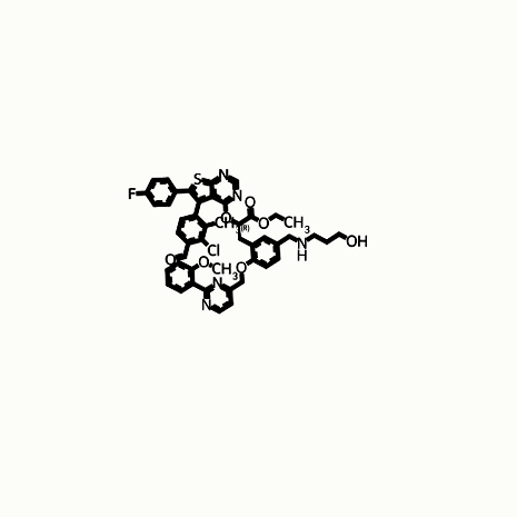 CCOC(=O)[C@@H](Cc1cc(CNCCCO)ccc1OCc1ccnc(-c2ccccc2OC)n1)Oc1ncnc2sc(-c3ccc(F)cc3)c(-c3ccc(C=O)c(Cl)c3C)c12